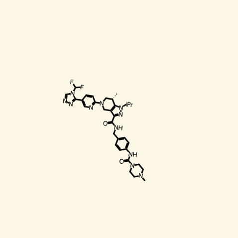 CC(C)n1nc(C(=O)NCc2ccc(NC(=O)N3CCN(C)CC3)cc2)c2c1[C@@H](C)CN(c1ccc(-c3nncn3C(F)F)cn1)C2